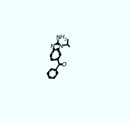 CC(C)n1c(N)nc2ccc(C(=O)c3ccccc3)cc21